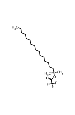 CCCCCCCCCCCCCCCC[Si](C)(C)OC(=O)C(F)(F)F